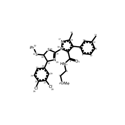 COCCNC(=O)c1c(-c2cccc(C)c2)c(C)nn1C1=NC(c2ccc(Cl)c(Cl)c2)C(SC(C)C)S1